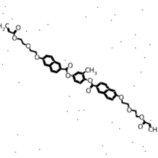 C=CC(=O)OCCOCCOc1ccc2cc(C(=O)Oc3ccc(OC(=O)c4ccc5cc(OCCOCCOC(=O)C=C)ccc5c4)c(C)c3)ccc2c1